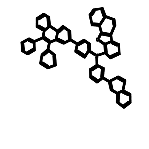 c1ccc(-c2c(-c3ccccc3)c3cc(-c4ccc(N(c5cccc(-c6ccc7ccccc7c6)c5)c5cccc6c5oc5c7ccccc7ccc65)cc4)ccc3c3ccccc23)cc1